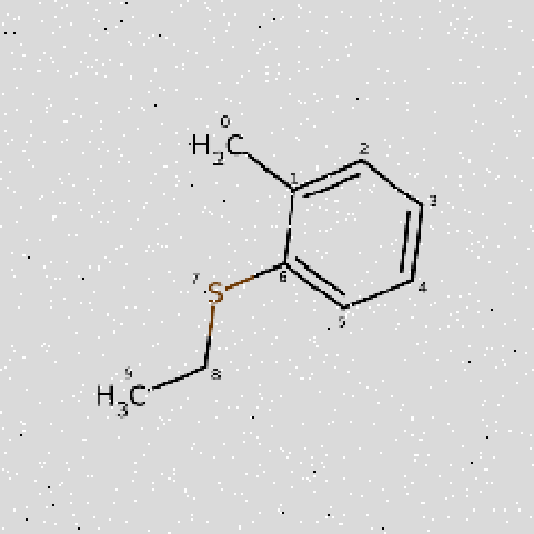 [CH2]c1ccccc1SCC